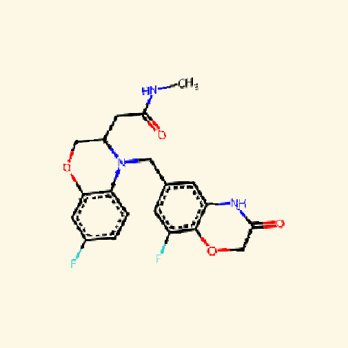 CNC(=O)CC1COc2cc(F)ccc2N1Cc1cc(F)c2c(c1)NC(=O)CO2